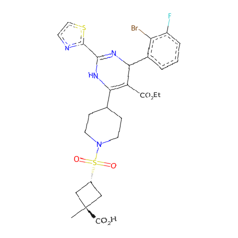 CCOC(=O)C1=C(C2CCN(S(=O)(=O)[C@H]3C[C@](C)(C(=O)O)C3)CC2)NC(c2nccs2)=NC1c1cccc(F)c1Br